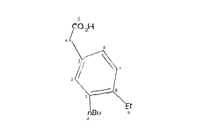 CCCCc1cc(CC(=O)O)ccc1CC